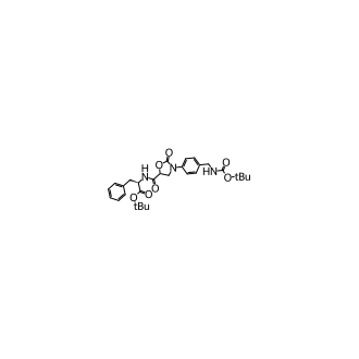 CC(C)(C)OC(=O)NCc1ccc(N2CC(C(=O)N[C@H](Cc3ccccc3)C(=O)OC(C)(C)C)OC2=O)cc1